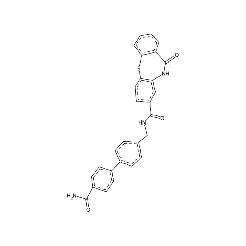 NC(=O)c1ccc(-c2ccc(CNC(=O)c3ccc4c(c3)NC(=O)c3ccccc3S4)cc2)cc1